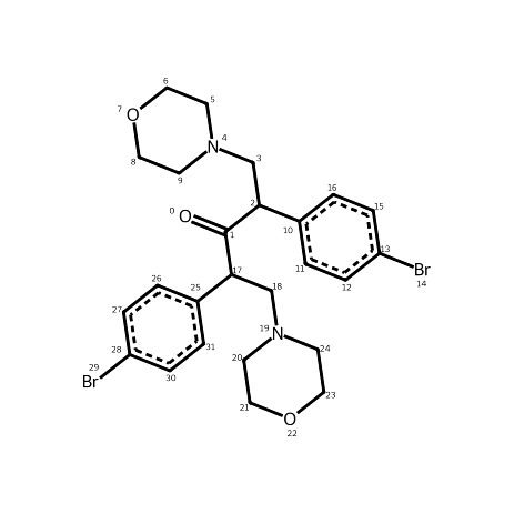 O=C(C(CN1CCOCC1)c1ccc(Br)cc1)C(CN1CCOCC1)c1ccc(Br)cc1